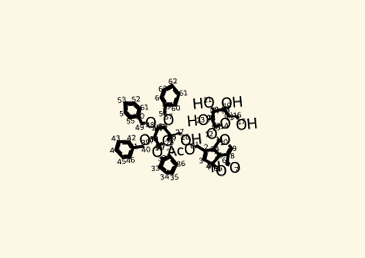 CC(=O)OCC1=C[C@@H]2OC(=O)C3=COC(O[C@@H]4O[C@H](CO)[C@@H](O)[C@H](O)[C@H]4O)C1C32.OC[C@H]1O[C@@H](Oc2ccccc2)[C@H](OCc2ccccc2)[C@@H](OCc2ccccc2)[C@H]1OCc1ccccc1